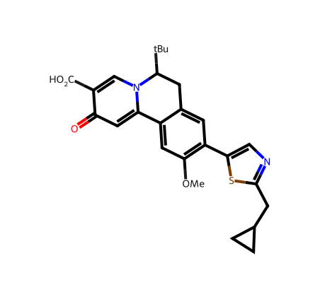 COc1cc2c(cc1-c1cnc(CC3CC3)s1)CC(C(C)(C)C)n1cc(C(=O)O)c(=O)cc1-2